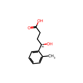 Cc1ccccc1[C@H](O)CCC(=O)O